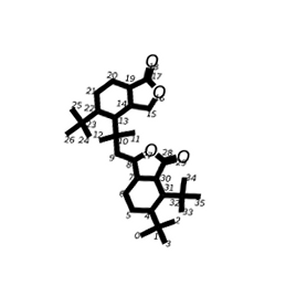 CC(C)(C)C1CCC2C(CC(C)(C)C3C4COC(=O)C4CCC3C(C)(C)C)OC(=O)C2C1C(C)(C)C